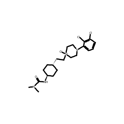 CN(C)C(=O)N[C@H]1CC[C@H](CC[N+]2([O-])CCN(c3cccc(Cl)c3Cl)CC2)CC1